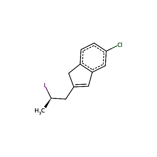 C[C@@H](I)CC1=Cc2cc(Cl)ccc2C1